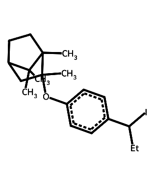 CCC(I)c1ccc(OC2(C)CC3CCC2(C)C3(C)C)cc1